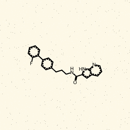 O=C(NCCCc1ccc(-c2ccccc2F)cc1)c1cc2cccnc2[nH]1